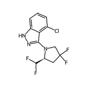 FC(F)[C@@H]1CC(F)(F)CN1c1n[nH]c2cccc(Cl)c12